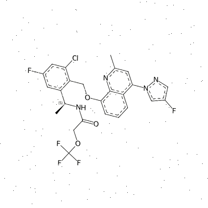 Cc1cc(-n2cc(F)cn2)c2cccc(OCc3c(Cl)cc(F)cc3[C@H](C)NC(=O)COC(F)(F)F)c2n1